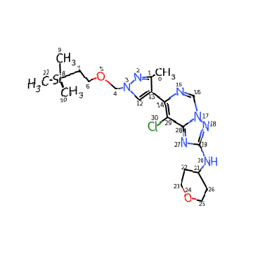 Cc1nn(COCC[Si](C)(C)C)cc1-c1ncn2nc(NC3CCOCC3)nc2c1Cl